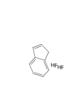 C1=Cc2ccccc2C1.F.F